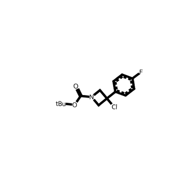 CC(C)(C)OC(=O)N1CC(Cl)(c2ccc(F)cc2)C1